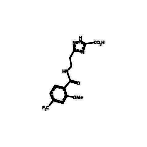 COc1cc(C(F)(F)F)ccc1C(=O)NCCc1n[nH]c(C(=O)O)n1